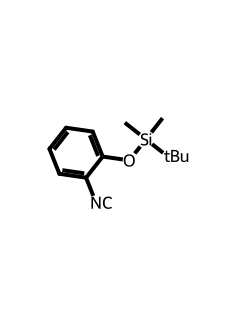 [C-]#[N+]c1ccccc1O[Si](C)(C)C(C)(C)C